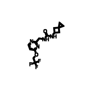 O=C(NCc1nccc(OCC(F)(F)F)n1)NC1CC2(CC2)C1